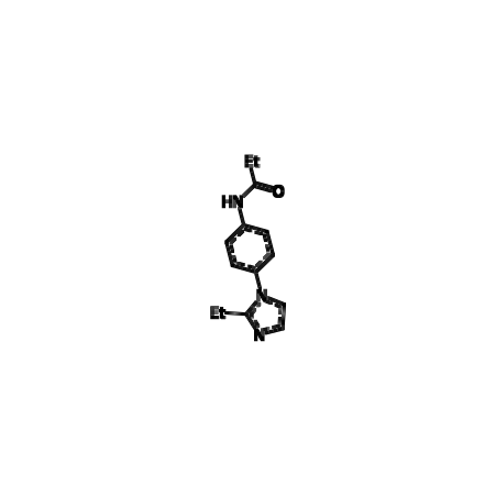 CCC(=O)Nc1ccc(-n2ccnc2CC)cc1